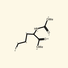 COC(=O)NC(CCCF)C(=O)OC